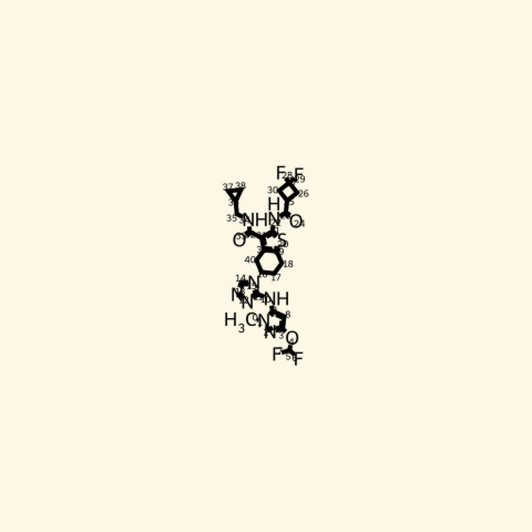 Cn1nc(OC(F)F)cc1Nc1nncn1[C@H]1CCc2sc(NC(=O)C3CC(F)(F)C3)c(C(=O)NCC3CC3)c2C1